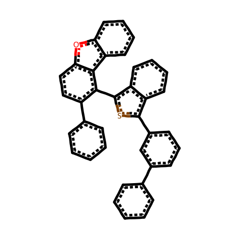 c1ccc(-c2cccc(-c3sc(-c4c(-c5ccccc5)ccc5oc6ccccc6c45)c4ccccc34)c2)cc1